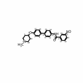 CN1CCC(Oc2ccc(-c3ccc(NC(=O)c4cccc(N=O)c4)cc3)cc2)CC1